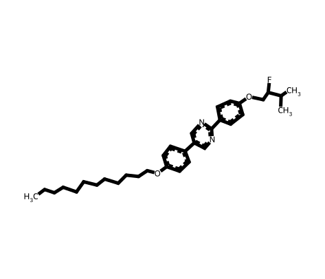 CCCCCCCCCCCCOc1ccc(-c2cnc(-c3ccc(OCC(F)C(C)C)cc3)nc2)cc1